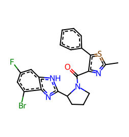 Cc1nc(C(=O)N2CCCC2c2nc3c(Br)cc(F)cc3[nH]2)c(-c2ccccc2)s1